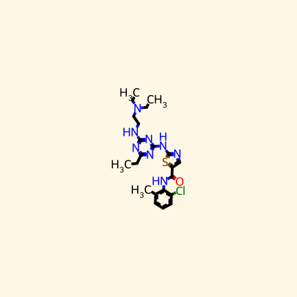 CCc1nc(NCCN(CC)CC)nc(Nc2ncc(C(=O)Nc3c(C)cccc3Cl)s2)n1